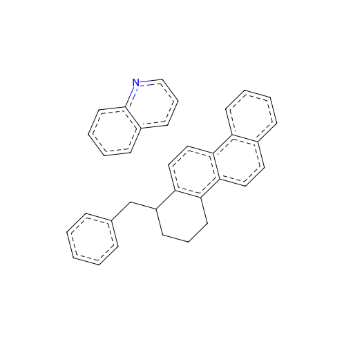 c1ccc(CC2CCCc3c2ccc2c3ccc3ccccc32)cc1.c1ccc2ncccc2c1